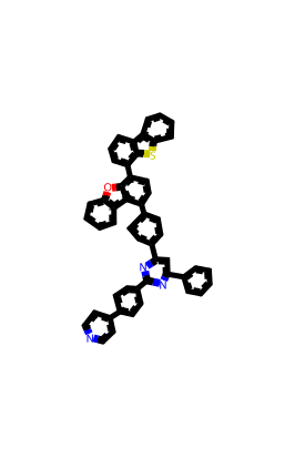 c1ccc(-c2cc(-c3ccc(-c4ccc(-c5cccc6c5sc5ccccc56)c5oc6ccccc6c45)cc3)nc(-c3ccc(-c4ccncc4)cc3)n2)cc1